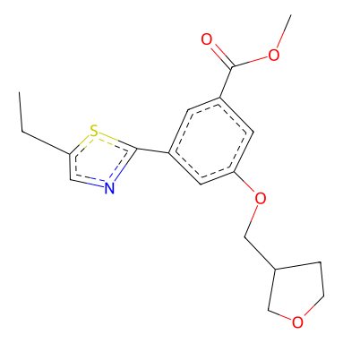 CCc1cnc(-c2cc(OCC3CCOC3)cc(C(=O)OC)c2)s1